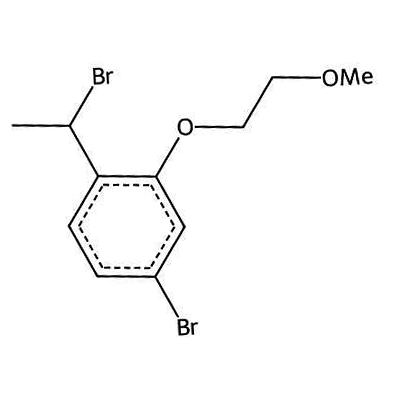 COCCOc1cc(Br)ccc1C(C)Br